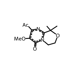 COc1c(C(C)=O)nc2n(c1=O)CCOC2(C)C